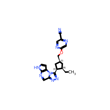 CC[C@@H]1C[C@H](COc2cnc(C#N)cn2)C[C@@H]1c1nnc2cnc3[nH]ccc3n12